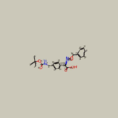 CC(C)(C)OC(=O)NCc1ccc(C(=NOCc2ccccc2)C(=O)O)cc1